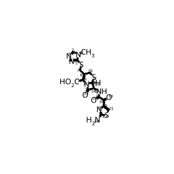 Cn1cnnc1SCC1=C(C(=O)O)N2C(=O)C(NC(=O)C(=O)c3csc(N)n3)[C@@H]2SC1